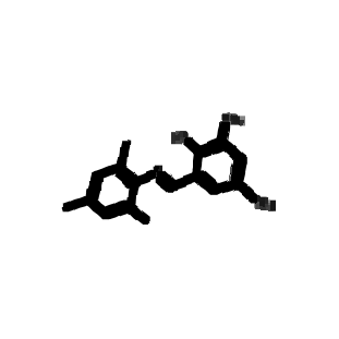 Cc1cc(C)c(/N=C/c2cc(C(C)(C)C)cc(C(C)(C)C)c2O)c(C)c1